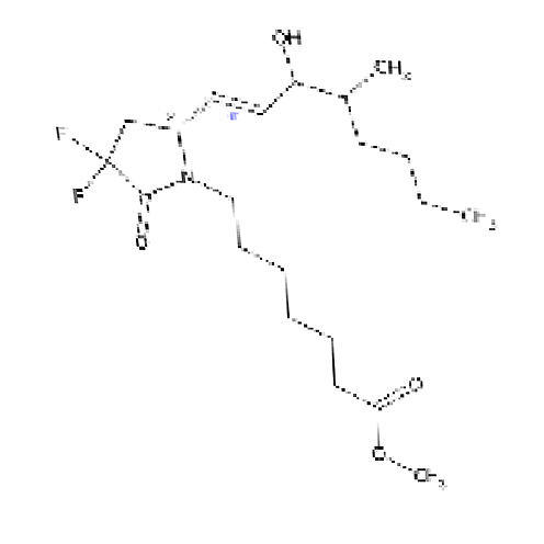 CCCCC(C)C(O)/C=C/[C@H]1CC(F)(F)C(=O)N1CCCCCCC(=O)OC